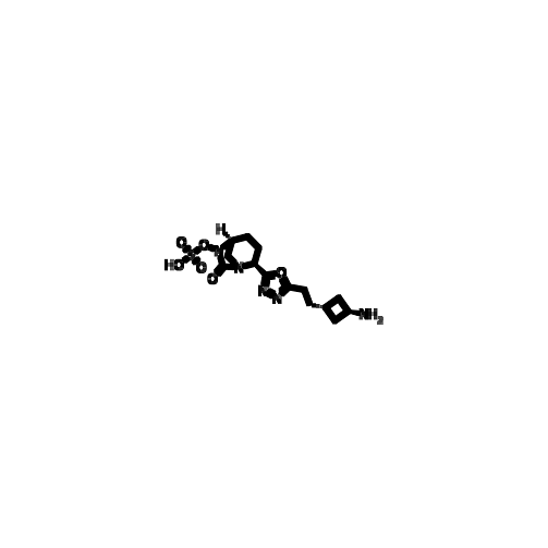 N[C@H]1C[C@H](CCc2nnc([C@@H]3CC[C@H]4CN3C(=O)N4OS(=O)(=O)O)o2)C1